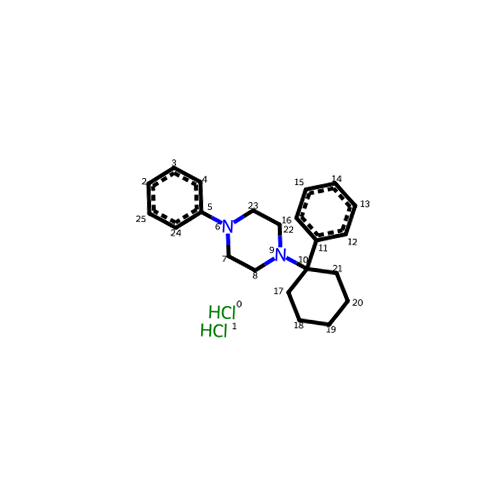 Cl.Cl.c1ccc(N2CCN(C3(c4ccccc4)CCCCC3)CC2)cc1